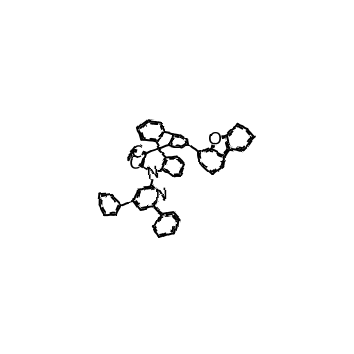 c1ccc(-c2cc(-c3ccccc3)nc(N3c4ccccc4C4(c5ccccc5-c5ccc(-c6cccc7c6oc6ccccc67)cc54)c4ccccc43)c2)cc1